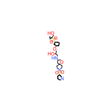 O=S(=O)(c1cccnc1)N1CCC2(CC1)CC(NCC(O)COc1cccc(S(=O)(=O)C3(CO)CC3)c1)CO2